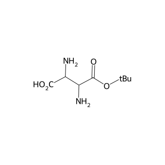 CC(C)(C)OC(=O)C(N)C(N)C(=O)O